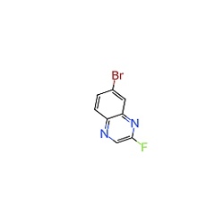 Fc1cnc2ccc(Br)cc2n1